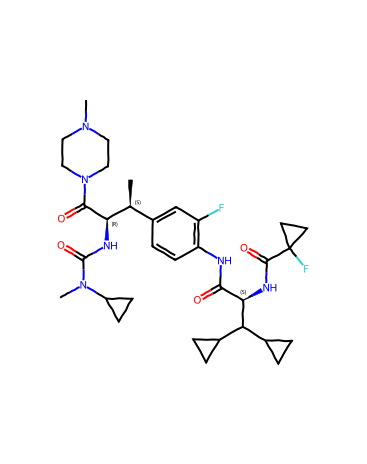 C[C@@H](c1ccc(NC(=O)[C@@H](NC(=O)C2(F)CC2)C(C2CC2)C2CC2)c(F)c1)[C@@H](NC(=O)N(C)C1CC1)C(=O)N1CCN(C)CC1